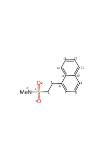 [CH2-][NH2+]S(=O)(=O)CCc1cccc2ccccc12